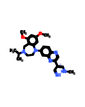 CN/C=C(\C=N)c1cnc2ccc(N3CCN(C(C)C)Cc4c(OC)cc(OC)cc43)cc2n1